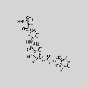 CCC(C(=O)NCC(=O)CSCc1c(F)cccc1Cl)n1ccnc(Nc2cccc(C(=O)NC(C)=N)c2)c1=O